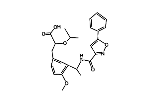 COc1ccc(CC(OC(C)C)C(=O)O)cc1C(C)NC(=O)c1cc(-c2ccccc2)on1